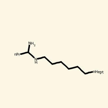 CCCCCCCCCCCCCNC(N)CCC